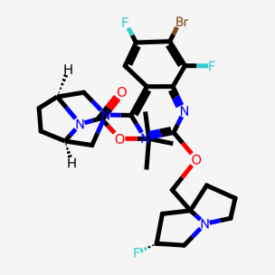 CC(C)(C)OC(=O)N1[C@@H]2CC[C@H]1CN(c1nc(OCC34CCCN3C[C@H](F)C4)nc3c(F)c(Br)c(F)cc13)C2